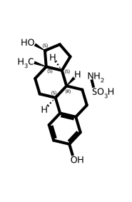 C[C@]12CC[C@@H]3c4ccc(O)cc4CC[C@H]3[C@@H]1CC[C@@H]2O.NS(=O)(=O)O